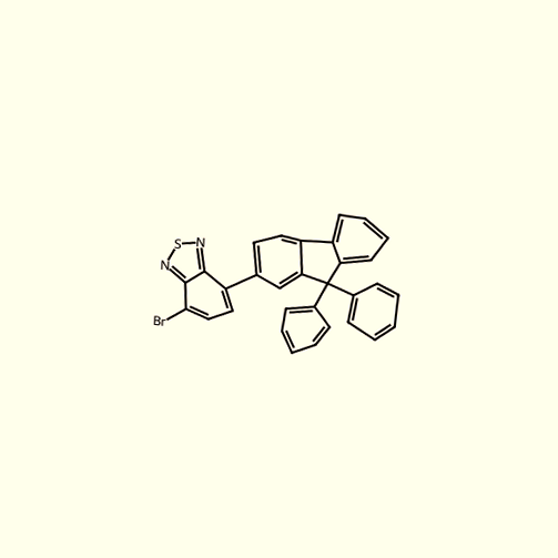 Brc1ccc(-c2ccc3c(c2)C(c2ccccc2)(c2ccccc2)c2ccccc2-3)c2nsnc12